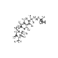 C=C(C)C1C(=C)C2(C)C(C)C3C(C)C4C(C)C(C(C)(C)CCCC(C)O)CCC4C(C)C3(C)C(C)C2(C)CC1C